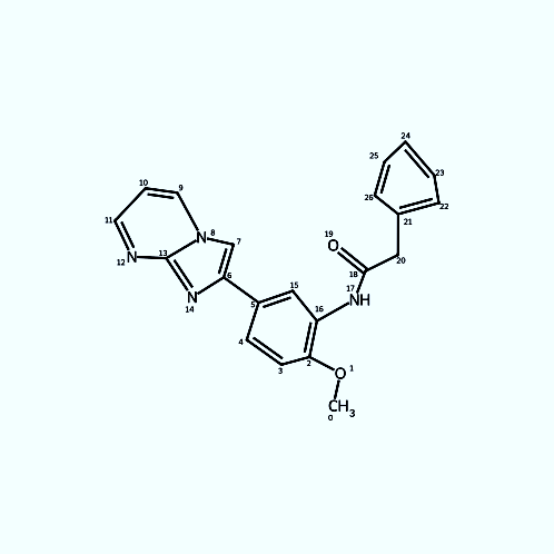 COc1ccc(-c2cn3cccnc3n2)cc1NC(=O)Cc1ccccc1